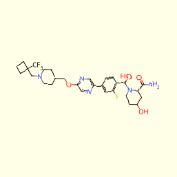 NC(=O)C1CC(O)CCN1C(O)c1ccc(-c2cnc(OCC3CCN(CC4(C(F)(F)F)CCC4)CC3)cn2)cc1F